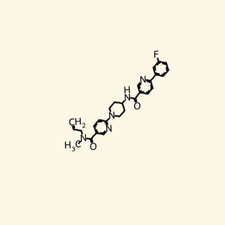 C=CCN(C)C(=O)c1ccc(N2CCC(NC(=O)c3ccc(-c4cccc(F)c4)nc3)CC2)nc1